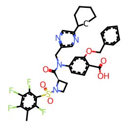 Cc1c(F)c(F)c(F)c(S(=O)(=O)N2CC[C@@H]2C(=O)N(Cc2cnc(C3CCCCC3)cn2)c2ccc(C(=O)O)c(OCc3ccccc3)c2)c1F